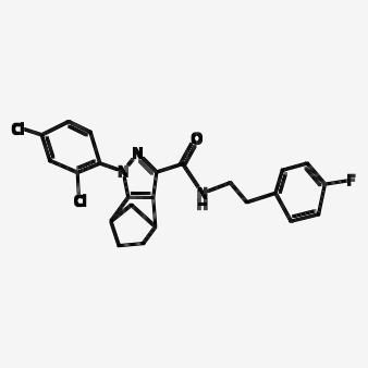 O=C(NCCc1ccc(F)cc1)c1nn(-c2ccc(Cl)cc2Cl)c2c1C1CCC2C1